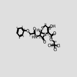 O=C(COc1ccccc1)NC1C(=O)N2C(C(=O)OCC(Cl)(Cl)Cl)=C(O)CS[C@@H]12